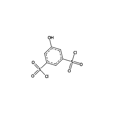 O=S(=O)(Cl)c1cc(O)cc(S(=O)(=O)Cl)c1